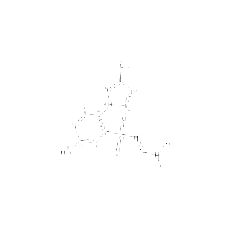 CN(C)C=NS(=O)(=O)c1cc(N)cnc1-n1cc(C(F)(F)F)cn1